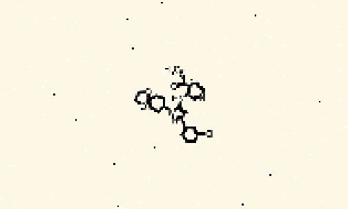 COC(=O)c1ccncc1Nc1cc(-c2cccc(Cl)c2)nn1C1CCC2(CC1)OCCO2